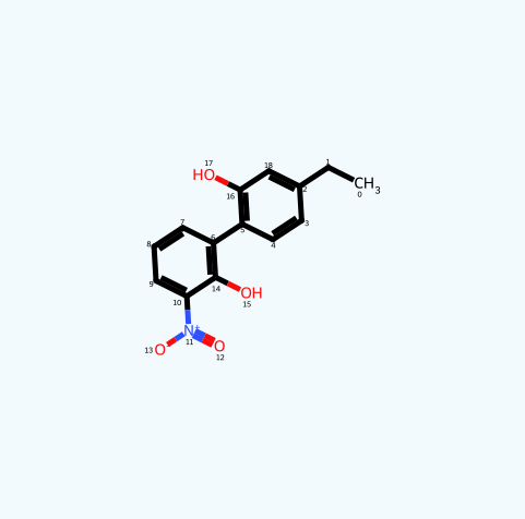 CCc1ccc(-c2[c]ccc([N+](=O)[O-])c2O)c(O)c1